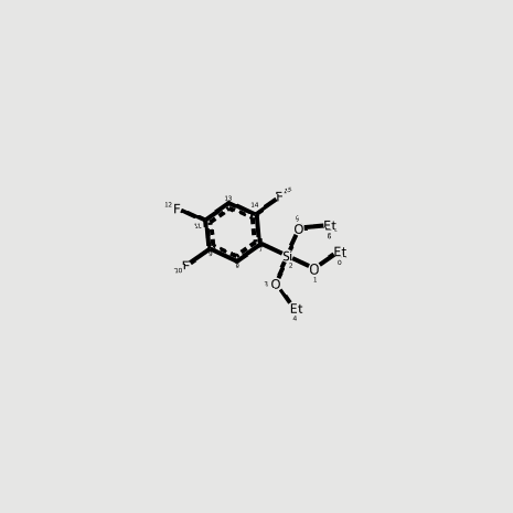 CCO[Si](OCC)(OCC)c1cc(F)c(F)cc1F